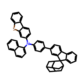 c1ccc2c(c1)-c1ccc(-c3ccc(N(c4ccc5c(c4)sc4ccccc45)c4cccc5ccccc45)cc3)cc1C21C2CC3CC(C2)CC1C3